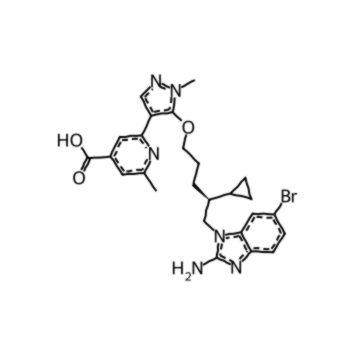 Cc1cc(C(=O)O)cc(-c2cnn(C)c2OCCC[C@H](Cn2c(N)nc3ccc(Br)cc32)C2CC2)n1